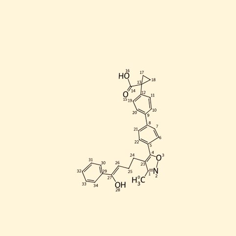 Cc1noc(-c2ccc(-c3ccc(C4(C(=O)O)CC4)cc3)cc2)c1CC/C=C(\O)c1ccccc1